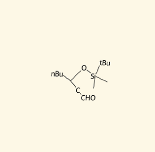 CCCCC(CC=O)O[Si](C)(C)C(C)(C)C